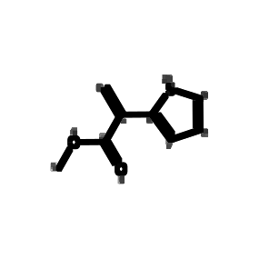 C=C(C(=O)OC)c1cccs1